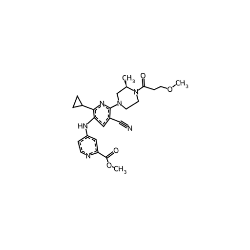 COCCC(=O)N1CCN(c2nc(C3CC3)c(Nc3ccnc(C(=O)OC)c3)cc2C#N)C[C@H]1C